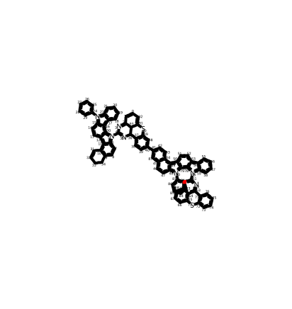 C1=CC2=NC(n3c4ccc5c(c4c4ccc6c(c7ccccc7n6-c6ccccc6)c43)C=CCC5)=NC3c4ccc(-c5ccc6c(ccc7c6c6ccc8c9ccccc9n(-c9nc%10c%11c(cccc%11n9)Sc9ccccc9-%10)c8c6n7-c6ccccc6)c5)cc4SC(=C1)C23